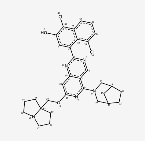 Oc1cc(-c2ncc3c(N4CC5CCC(C5)C4)nc(OCC45CCCN4CCC5)cc3n2)c2c(Cl)cccc2c1Cl